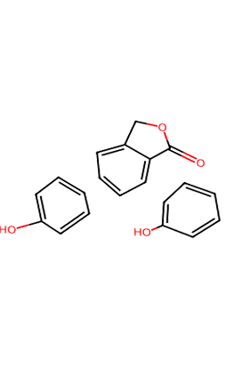 O=C1OCc2ccccc21.Oc1ccccc1.Oc1ccccc1